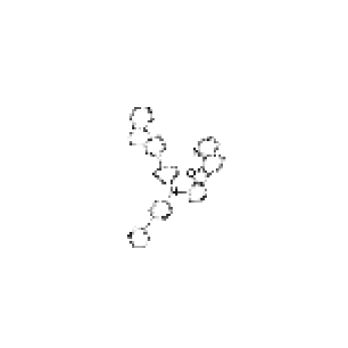 c1ccc(-c2ccc(N(c3ccc(-c4ccc5c(ccc6ccccc65)c4)cc3)c3cccc4c3oc3c4ccc4cccnc43)cc2)cc1